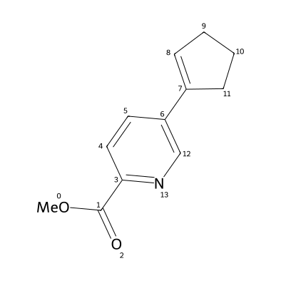 COC(=O)c1ccc(C2=CCCC2)cn1